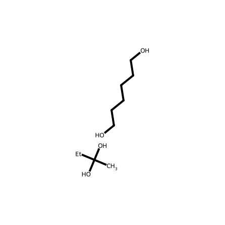 CCC(C)(O)O.OCCCCCCO